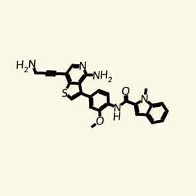 COc1cc(-c2csc3c(C#CCN)cnc(N)c23)ccc1NC(=O)c1cc2ccccc2n1C